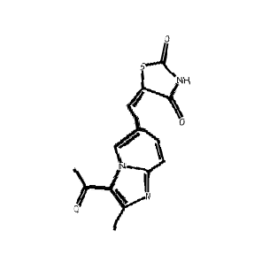 CC(=O)c1c(C)nc2ccc(C=C3SC(=O)NC3=O)cn12